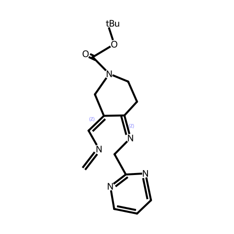 C=N/C=C1/CN(C(=O)OC(C)(C)C)CC/C1=N/Cc1ncccn1